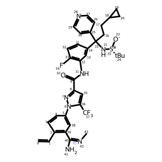 C=Cc1ccc(-n2nc(C(=O)Nc3cc(C(CCC4CC4)(N[S@+]([O-])C(C)(C)C)c4ccncc4)ccc3F)cc2C(F)(F)F)cc1/C(N)=N\C